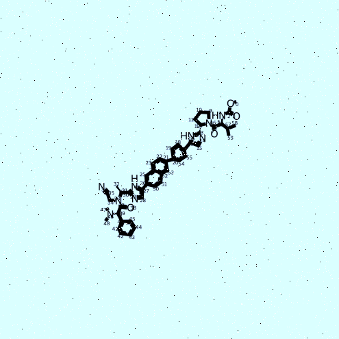 COC(=O)N[C@H](C(=O)N1CCC[C@H]1c1ncc(-c2ccc(-c3ccc4cc(-c5cnc([C@H](C)N(CC#N)C(=O)[C@@H](c6ccccc6)N(C)C)[nH]5)ccc4c3)cc2)[nH]1)C(C)C